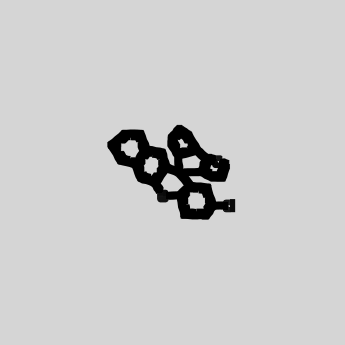 Clc1ccc2c(c1)C1(c3cc4ccccc4cc3O2)c2ccccc2-c2ccccc21